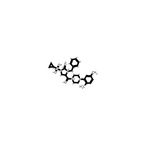 Cc1ccc(C)c(N2CCN(C(=O)C3CN(S(=O)(=O)C4CC4)C(=O)N3Cc3ccccc3)CC2)c1